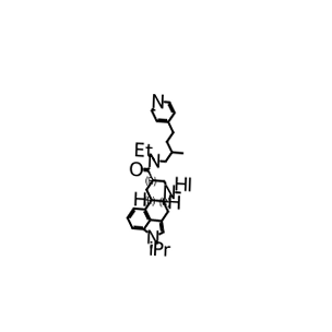 CCN(CC(C)CCc1ccncc1)C(=O)[C@@H]1C[C@@H]2c3cccc4c3c(cn4C(C)C)C[C@H]2N(C)C1.I